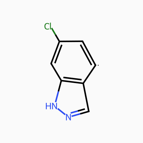 Clc1c[c]c2cn[nH]c2c1